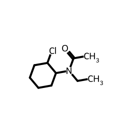 CCN(C(C)=O)C1CCCCC1Cl